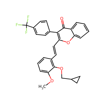 COc1cccc(C=Cc2oc3ccccc3c(=O)c2-c2ccc(C(F)(F)F)cc2)c1OCC1CC1